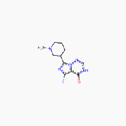 BN1CCCC(c2nc(I)c3c(=O)[nH]cnn23)C1